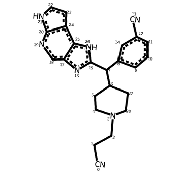 N#CCCN1CCC(C(c2cccc(C#N)c2)c2nc3cnc4[nH]ccc4c3[nH]2)CC1